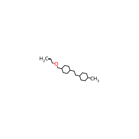 C=CCOCC1CCC(CCC2CCC(C)CC2)CC1